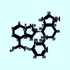 FC(F)c1cccn2nc([C@@H]3c4nc[nH]c4CCN3c3ncccn3)cc12